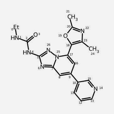 CCNC(=O)Nc1nc2cc(-c3cccnc3)cc(-c3oc(C)nc3C)n2n1